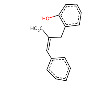 O=C(O)C(=Cc1ccccc1)Cc1ccccc1O